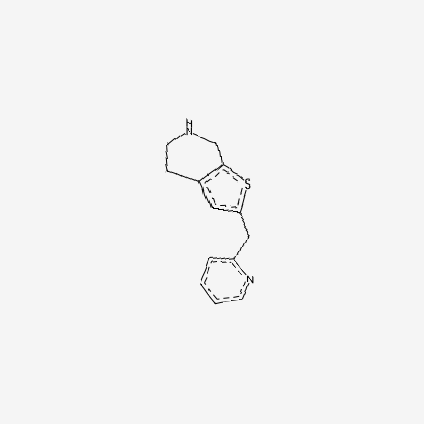 c1ccc(Cc2cc3c(s2)CNCC3)nc1